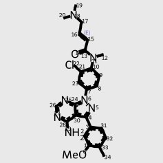 COc1cc(-c2nn(-c3ccc(N(C)C(=O)/C=C/CN(C)C)c(Cl)c3)c3ncnc(N)c23)ccc1C